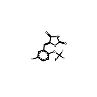 O=C1NC(=O)C(=Cc2cc(F)ccc2OC(F)(F)F)S1